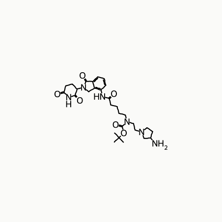 CC(C)(C)OC(=O)N(CCCCC(=O)Nc1cccc2c1CN(C1CCC(=O)NC1=O)C2=O)CCN1CCC(N)C1